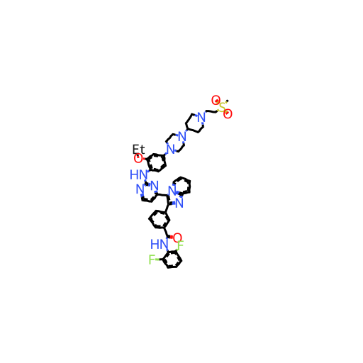 CCOc1cc(N2CCN(C3CCN(CCS(C)(=O)=O)CC3)CC2)ccc1Nc1nccc(-c2c(-c3cccc(C(=O)Nc4c(F)cccc4F)c3)nc3ccccn23)n1